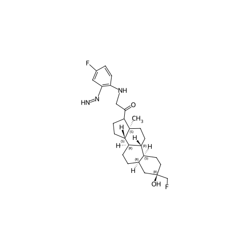 C[C@]12CC[C@H]3[C@@H](CC[C@@H]4C[C@@](O)(CF)CC[C@@H]43)[C@@H]1CCC2C(=O)CNc1ccc(F)cc1N=N